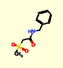 CS(=O)(=O)CC(=O)NCc1c[c]ccc1